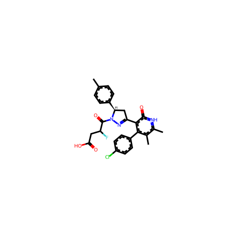 Cc1ccc([C@H]2CC(c3c(-c4ccc(Cl)cc4)c(C)c(C)[nH]c3=O)=NN2C(=O)C(F)CC(=O)O)cc1